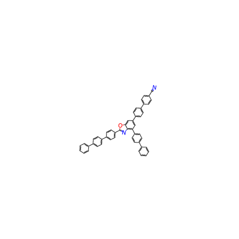 N#Cc1ccc(-c2ccc(-c3cc(-c4ccc(-c5ccccc5)cc4)c4nc(-c5ccc(-c6ccc(-c7ccccc7)cc6)cc5)oc4c3)cc2)cc1